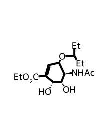 CCOC(=O)C1=C[C@@H](OC(CC)CC)[C@@H](NC(C)=O)[C@H](O)[C@@H]1O